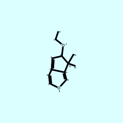 CCOC1C=C2C=COC=C2C1(C)C